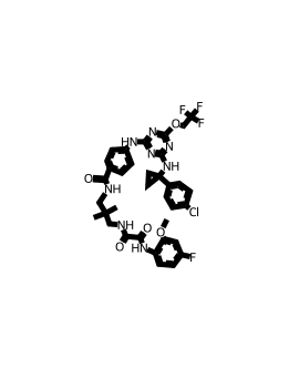 COc1cc(F)ccc1NC(=O)C(=O)NCC(C)(C)CNC(=O)c1ccc(Nc2nc(NC3(c4ccc(Cl)cc4)CC3)nc(OCC(F)(F)F)n2)cc1